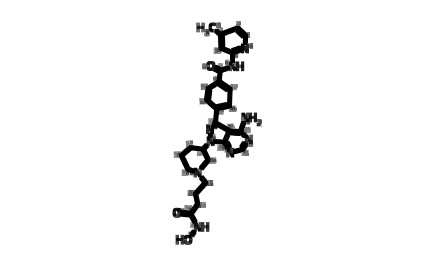 Cc1ccnc(NC(=O)c2ccc(-c3nn(C4CCCN(CCCC(=O)NO)C4)c4ncnc(N)c34)cc2)c1